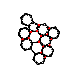 c1ccc(-c2ccccc2N(c2ccccc2-c2ccccc2)c2ccccc2-c2ccccc2-c2cccc(-n3nc4ccccc4n3)c2)cc1